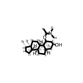 CC(OC1C[C@@H](O)C[C@@H]2CC[C@H]3[C@@H]4CC[C@H](C)[C@@]4(C)CC[C@@H]3[C@@]12C)N(C)C